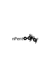 CCCCCc1ccc(-c2cc(F)c(C(F)(F)Oc3ccc(F)c(F)c3)c(F)c2)cc1